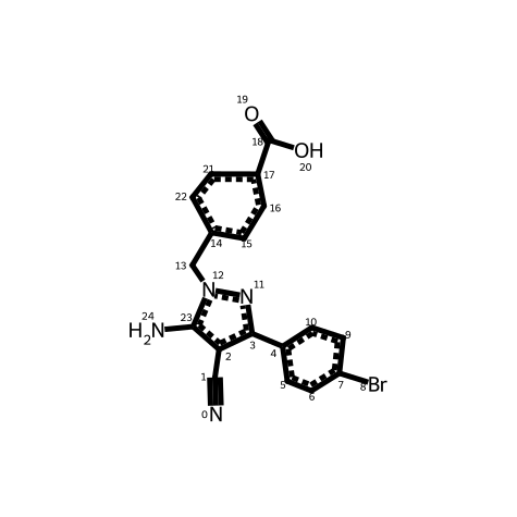 N#Cc1c(-c2ccc(Br)cc2)nn(Cc2ccc(C(=O)O)cc2)c1N